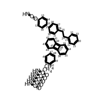 C.C.N=C=O.N=C=O.N=C=O.N=C=O.N=C=O.N=C=O.c1ccc(CCc2ccccc2)cc1.c1ccc2c(c1)=c1ccccc1=2.c1ccccc1.c1ccccc1